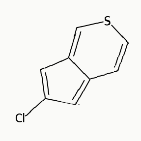 Clc1[c]c2ccscc-2c1